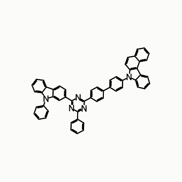 c1ccc(-c2nc(-c3ccc(-c4ccc(-n5c6ccccc6c6c7ccccc7ccc65)cc4)cc3)nc(-c3ccc4c5ccccc5n(-c5ccccc5)c4c3)n2)cc1